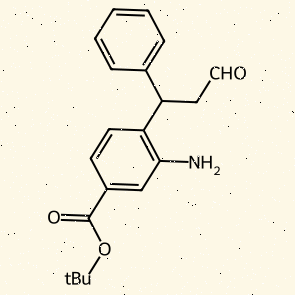 CC(C)(C)OC(=O)c1ccc(C(CC=O)c2ccccc2)c(N)c1